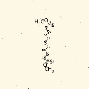 COC(=S)SSCCSCCSSC(=S)OC